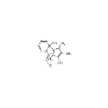 CC1=C(C)C(C)C(C2(C)C=CC=CC2/C=N/O)=C1C